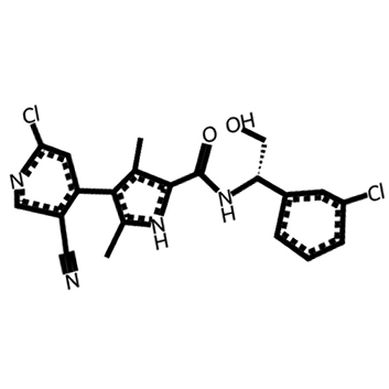 Cc1[nH]c(C(=O)N[C@H](CO)c2cccc(Cl)c2)c(C)c1-c1cc(Cl)ncc1C#N